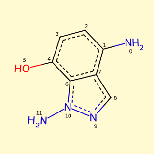 Nc1ccc(O)c2c1cnn2N